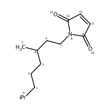 CC(C)CCCC(C)CCN1C(=O)C=CC1=O